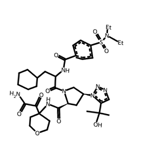 CCN(CC)S(=O)(=O)c1ccc(C(=O)NC(CC2CCCCC2)C(=O)N2C[C@@H](n3nncc3C(C)(C)O)C[C@H]2C(=O)NC2(C(=O)C(N)=O)CCOCC2)cc1